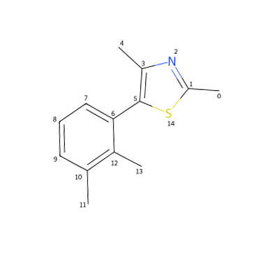 Cc1nc(C)c(-c2cccc(C)c2C)s1